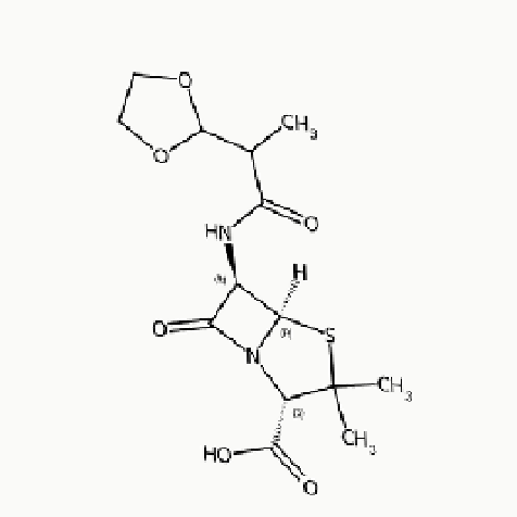 CC(C(=O)N[C@@H]1C(=O)N2[C@@H]1SC(C)(C)[C@@H]2C(=O)O)C1OCCO1